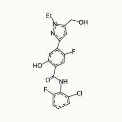 CCn1nc(-c2cc(O)c(C(=O)Nc3c(F)cccc3Cl)cc2F)cc1CO